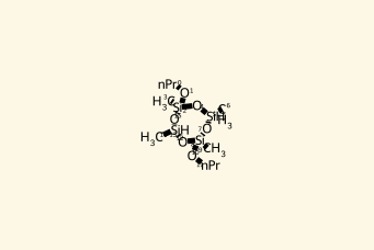 CCCO[Si]1(C)O[SiH](C)O[Si](C)(OCCC)O[SiH](C)O1